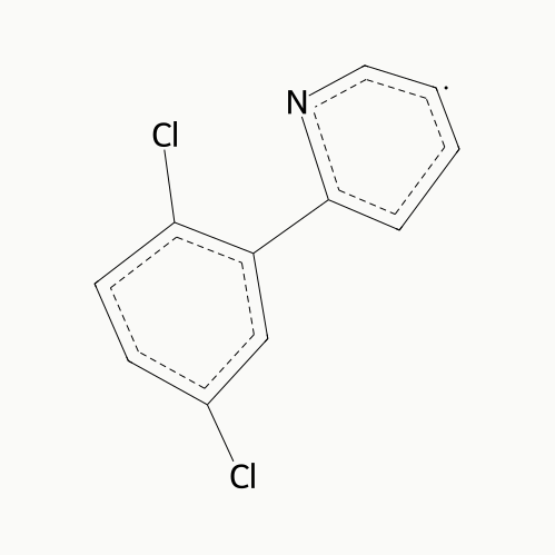 Clc1ccc(Cl)c(-c2cc[c]cn2)c1